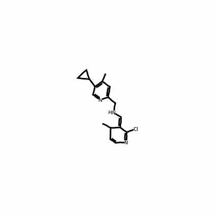 Cc1cc(CN/C=C2/C(Cl)=NC=CC2C)ncc1C1CC1